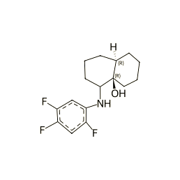 O[C@]12CCCC[C@@H]1CCCC2Nc1cc(F)c(F)cc1F